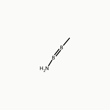 CB=BN